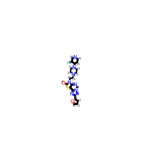 O=c1sc2c(ncn3nc(-c4ccco4)nc23)n1CCN1CCN(c2ccncc2F)CC1